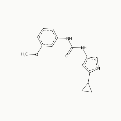 COc1cccc(NC(=O)Nc2nnc(C3CC3)s2)c1